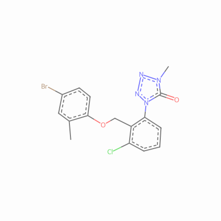 Cc1cc(Br)ccc1OCc1c(Cl)cccc1-n1nnn(C)c1=O